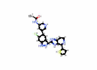 CC(C)(C)C(=O)Nc1cncc(-c2cc3c(-c4nc5c(-c6cccs6)nccc5[nH]4)n[nH]c3cc2F)c1